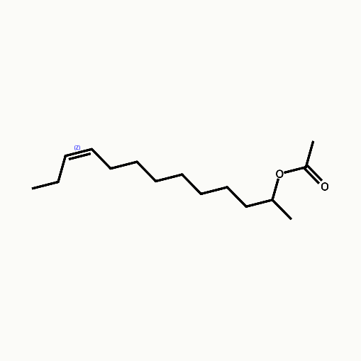 CC/C=C\CCCCCCCC(C)OC(C)=O